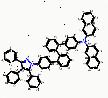 c1ccc(-c2nn(-c3ccc(-c4ccccc4-c4ccccc4-c4ccc(N(c5ccc6ccccc6c5)c5ccc6ccccc6c5)cc4)cc3)c(-c3ccccc3)c2-c2ccccc2)cc1